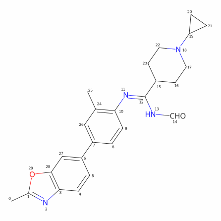 Cc1nc2ccc(-c3ccc(/N=C(\NC=O)C4CCN(C5CC5)CC4)c(C)c3)cc2o1